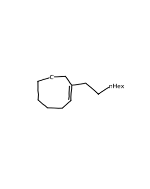 CCCCCCCCC1=CCCCCCC1